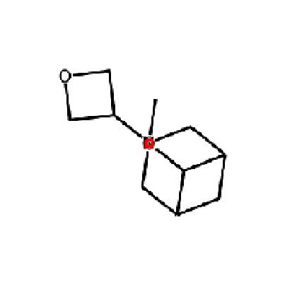 COC1C2CC1CN(C1COC1)C2